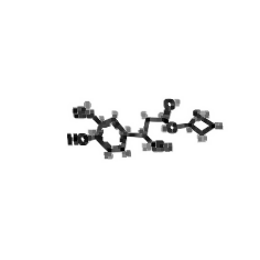 CC(C)(C)c1cc(C(CC(=O)OC2CCS2)C(C)(C)C)ccc1O